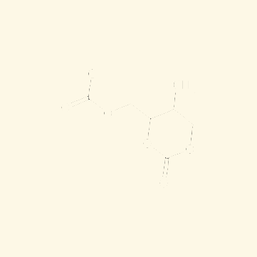 CC1COC(=O)OC1COC(=O)Cl